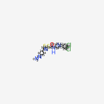 CN(C)/C=N/c1ccc(-c2csc(SCC(=O)NC3CCN(Cc4ccc(Cl)c(Cl)c4)CC3)n2)cc1